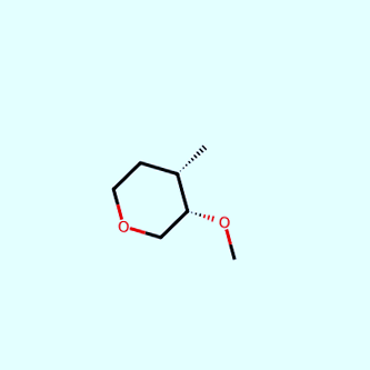 CO[C@@H]1COCC[C@@H]1C